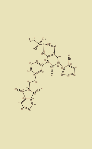 CS(=O)(=O)c1ncc2c(n1)N(c1cccc(CCN3C(=O)c4ccccc4C3=O)c1)C(=O)N(c1ccccc1Br)C2